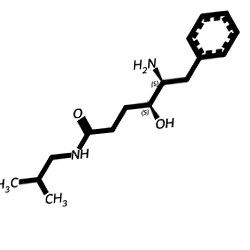 CC(C)CNC(=O)CC[C@H](O)[C@@H](N)Cc1ccccc1